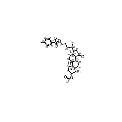 CC(=O)OC1CC[C@@]2(C)[C@@H](CCC3=C4C(=O)C[C@H]([C@H](C)CCCOS(=O)(=O)c5ccc(C)cc5)[C@@]4(C)CC[C@@H]32)C1